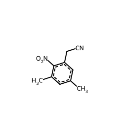 Cc1cc(C)c([N+](=O)[O-])c(CC#N)c1